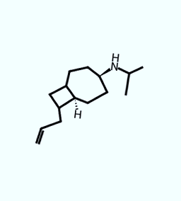 C=CCC1CC2CC[C@@H](NC(C)C)CC[C@@H]12